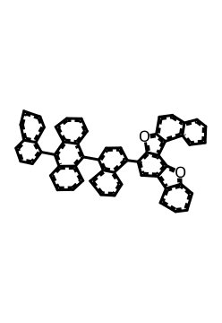 c1ccc2c(-c3c4ccccc4c(-c4ccc(-c5cc6c7ccccc7oc6c6c5oc5ccc7ccccc7c56)c5ccccc45)c4ccccc34)cccc2c1